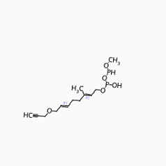 C#CCOC/C=C/CC/C(C)=C/COP(O)OPOC